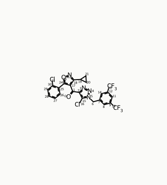 O=C(c1nnn(Cc2cc(C(F)(F)F)cc(C(F)(F)F)c2)c1Cl)c1c(C2CC2)noc1-c1ccccc1Cl